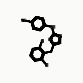 N#Cc1ccc(Nc2ncc(Cc3c(Cl)cccc3Cl)s2)cc1